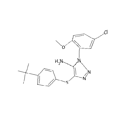 COc1ccc(Cl)cc1-n1nnc(Sc2ccc(C(C)(C)C)cc2)c1N